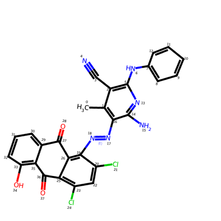 Cc1c(C#N)c(Nc2ccccc2)nc(N)c1/N=N/c1c(Cl)cc(Cl)c2c1C(=O)c1cccc(O)c1C2=O